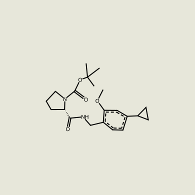 COc1cc(C2CC2)ccc1CNC(=O)[C@@H]1CCCN1C(=O)OC(C)(C)C